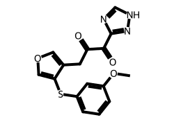 COc1cccc(Sc2cocc2CC(=O)C(=O)c2nc[nH]n2)c1